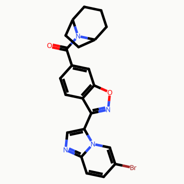 O=C(c1ccc2c(-c3cnc4ccc(Br)cn34)noc2c1)N1C2CCCC1CC2